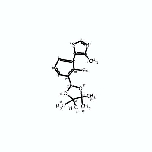 Cc1ncsc1-c1cccc(B2OC(C)(C)C(C)(C)O2)c1F